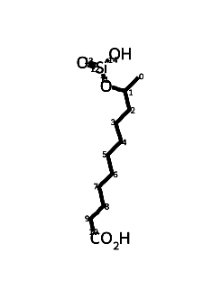 CC(CCCCCCCCC(=O)O)O[Si](=O)O